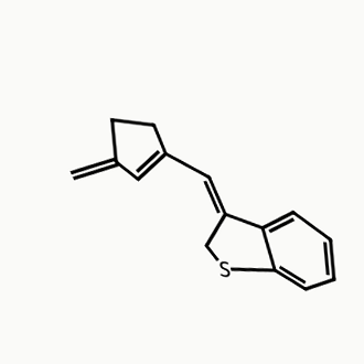 C=C1C=C(C=C2CSc3ccccc32)CC1